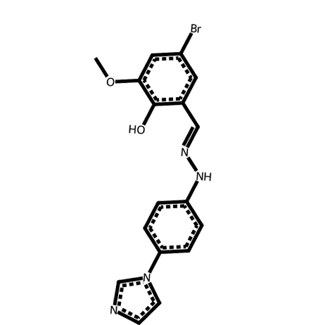 COc1cc(Br)cc(C=NNc2ccc(-n3ccnc3)cc2)c1O